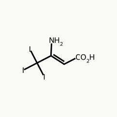 NC(=CC(=O)O)C(I)(I)I